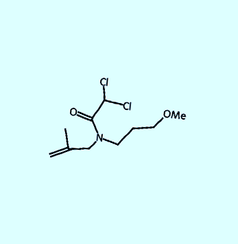 C=C(C)CN(CCCOC)C(=O)C(Cl)Cl